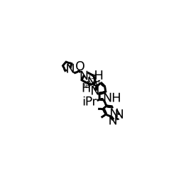 Cc1c(-c2[nH]c3ccc(N4[C@H]5C[C@H](C)[C@H]4CN(C(=O)CN4CCCC4)C5)nc3c2C(C)C)cn2ncnc2c1C